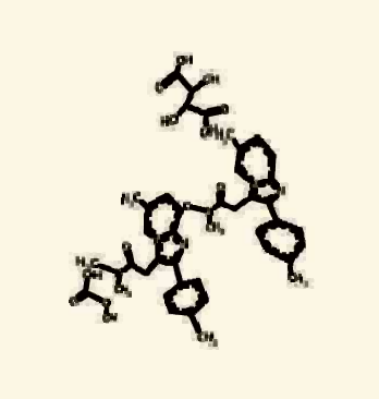 Cc1ccc(-c2nc3ccc(C)cn3c2CC(=O)N(C)C)cc1.Cc1ccc(-c2nc3ccc(C)cn3c2CC(=O)N(C)C)cc1.O=C(O)C(O)C(O)C(=O)O.O=C(O)OO